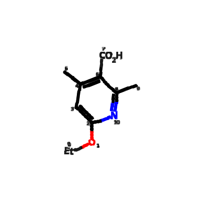 CCOc1cc(C)c(C(=O)O)c(C)n1